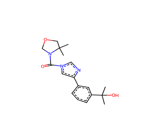 CC(C)(O)c1cccc(-c2cn(C(=O)N3COCC3(C)C)cn2)c1